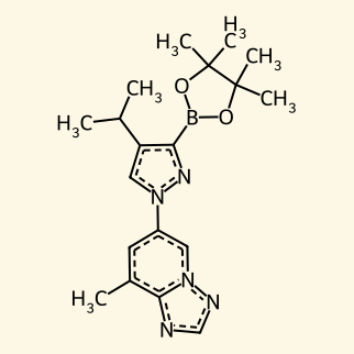 Cc1cc(-n2cc(C(C)C)c(B3OC(C)(C)C(C)(C)O3)n2)cn2ncnc12